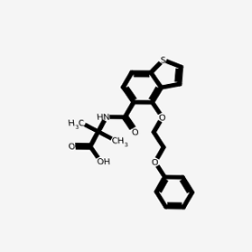 CC(C)(NC(=O)c1ccc2sccc2c1OCCOc1ccccc1)C(=O)O